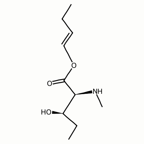 CC/C=C/OC(=O)[C@@H](NC)[C@H](O)CC